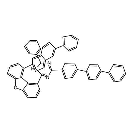 c1ccc(-c2ccc(-c3ccc(C4=NC(c5ccccc5)NC(c5cccc6oc7cccc(-c8ccc9cc(-c%10ccccc%10)ccc9c8)c7c56)=N4)cc3)cc2)cc1